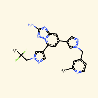 Cc1cc(Cn2cc(-c3cc(-c4cnn(CC(C)(F)F)c4)n4nc(N)nc4c3)cn2)ccn1